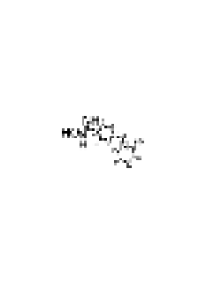 N=C(NO)c1ccc(CN2CCCCC2=O)cc1